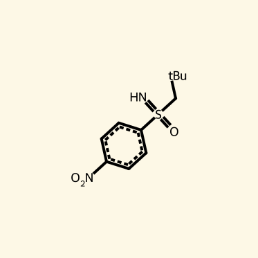 CC(C)(C)CS(=N)(=O)c1ccc([N+](=O)[O-])cc1